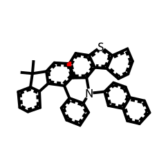 CC1(C)c2ccccc2-c2c(-c3ccccc3N(c3ccc4ccccc4c3)c3cccc4sc5ccccc5c34)cccc21